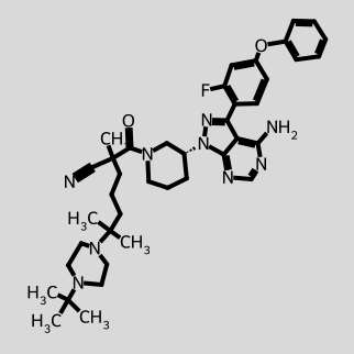 CC(C#N)(CCCC(C)(C)N1CCN(C(C)(C)C)CC1)C(=O)N1CCC[C@@H](n2nc(-c3ccc(Oc4ccccc4)cc3F)c3c(N)ncnc32)C1